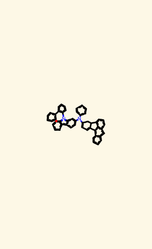 C1=C2c3c4ccccc4cc4cccc(c34)C2CC(N(c2ccccc2)c2ccc3c4ccccc4n(-c4ccccc4-c4ccccc4)c3c2)=C1